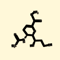 CC(=O)N[C@@H]1CC=C(C(=O)ON)O[C@H]1[C@H](O)CCO